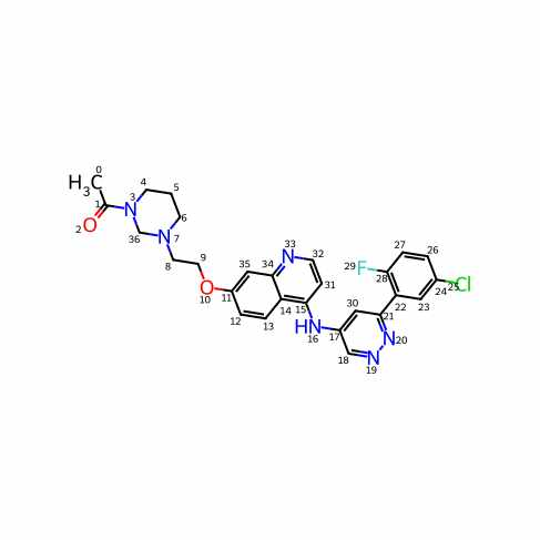 CC(=O)N1CCCN(CCOc2ccc3c(Nc4cnnc(-c5cc(Cl)ccc5F)c4)ccnc3c2)C1